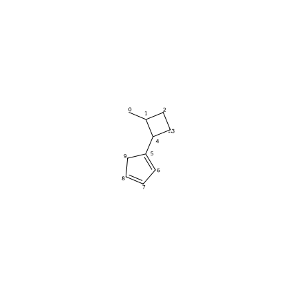 CC1C[C]C1C1=CC=CC1